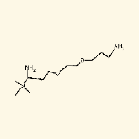 C[Si](C)(C)C(N)CCOCCOCCCN